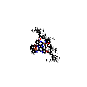 Cc1ccc2sc(/C(C#N)=c3/c4c(-c5cccc(OCC(CCC(C)CC(C)(C)C)C(C)CC(C)(C)C)c5)n(B5Oc6ccccc6O5)/c(=C(/C#N)c5nc6ccccc6s5)c4c(-c4cccc(OCC(CCC(C)CC(C)(C)C)C(C)CC(C)(C)C)c4)n3B3Oc4ccccc4O3)nc2c1